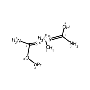 CC.CCCOC(N)=S.NC(O)=S